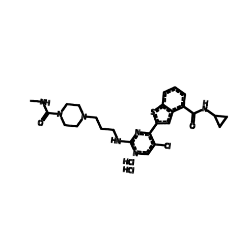 CNC(=O)N1CCN(CCCNc2ncc(Cl)c(-c3cc4c(C(=O)NC5CC5)cccc4s3)n2)CC1.Cl.Cl